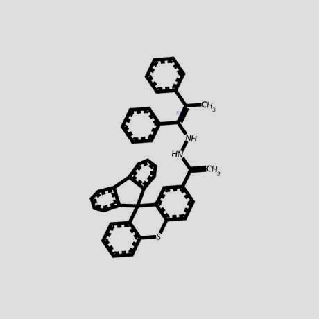 C=C(NN/C(=C(\C)c1ccccc1)c1ccccc1)c1ccc2c(c1)C1(c3ccccc3S2)c2ccccc2-c2ccccc21